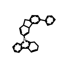 C1=Cc2c(n(C3=CC4c5cc(-c6ccccc6)ccc5CC4C=C3)c3ccccc23)CC1